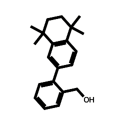 CC1(C)CCC(C)(C)c2cc(-c3ccccc3CO)ccc21